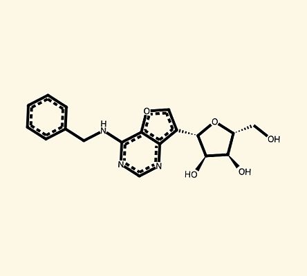 OC[C@H]1O[C@@H](c2coc3c(NCc4ccccc4)ncnc23)[C@H](O)[C@@H]1O